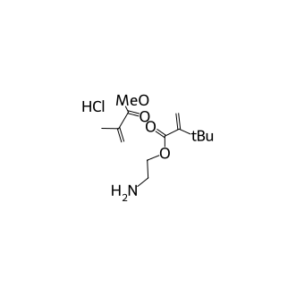 C=C(C(=O)OCCN)C(C)(C)C.C=C(C)C(=O)OC.Cl